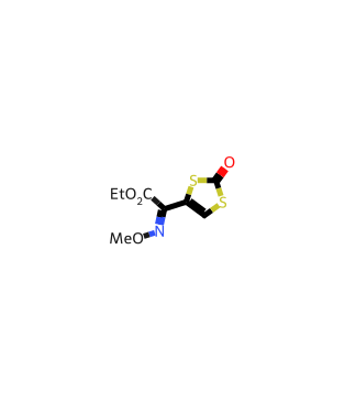 CCOC(=O)C(=NOC)c1csc(=O)s1